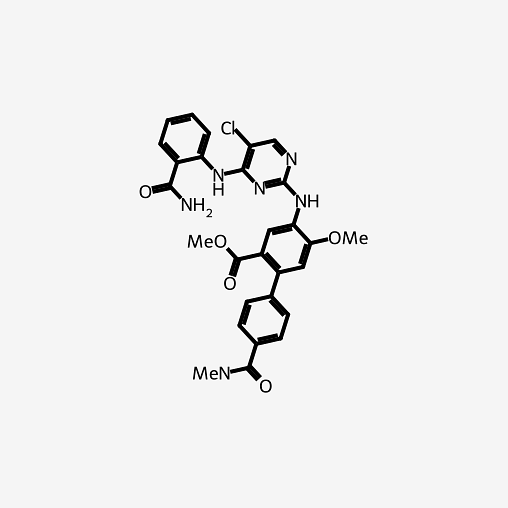 CNC(=O)c1ccc(-c2cc(OC)c(Nc3ncc(Cl)c(Nc4ccccc4C(N)=O)n3)cc2C(=O)OC)cc1